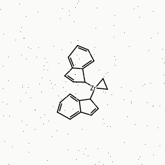 C1=C[CH]([Zr]2([CH]3C=Cc4ccccc43)[CH2][CH2]2)c2ccccc21